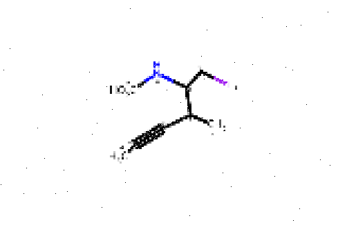 [CH2]C(C#CC)C(CI)NC(=O)O